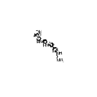 NCCCNc1ncc(-c2ccnc(Nc3cccc(NC4CCN(C5(C(=O)O)CC5)CC4)c3)c2)cn1